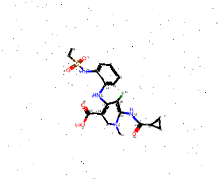 CCS(=O)(=O)Nc1ccccc1NC1=C(C(=O)O)CN(C)C(NC(=O)C2CC2)=C1F